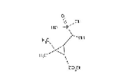 CCOC(=O)C1C(C(O)P(=O)(O)O)C1(C)C